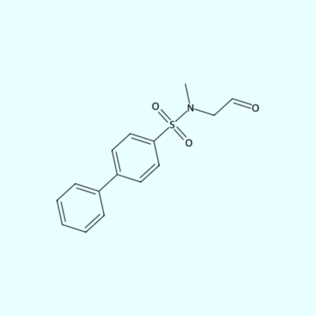 CN(CC=O)S(=O)(=O)c1ccc(-c2ccccc2)cc1